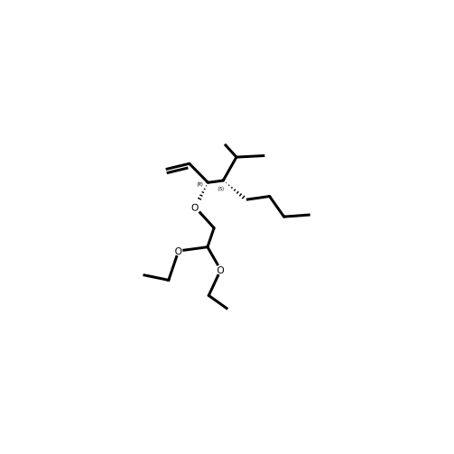 C=C[C@@H](OCC(OCC)OCC)[C@@H](CCCC)C(C)C